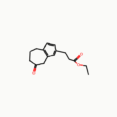 CCOC(=O)CCc1ccc2c(c1)CC(=O)CCC2